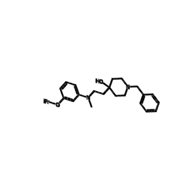 CC(C)Oc1cccc(N(C)CCC2(O)CCN(Cc3ccccc3)CC2)c1